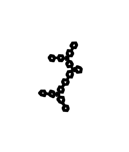 c1ccc(-c2ccc(N(c3ccc(-c4ccccc4)cc3)c3ccc(-c4ccc(-c5ccc(N(c6ccccc6)c6ccc(N(c7ccc(-c8ccccc8)cc7)c7ccc(-c8ccccc8)cc7)cc6)cc5)cc4)cc3)cc2)cc1